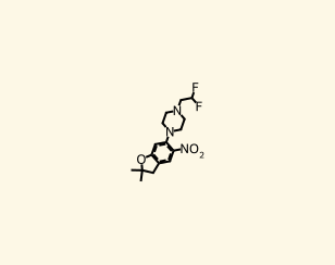 CC1(C)Cc2cc([N+](=O)[O-])c(N3CCN(CC(F)F)CC3)cc2O1